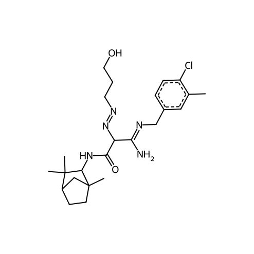 Cc1cc(C/N=C(\N)C(/N=N/CCCO)C(=O)NC2C3(C)CCC(C3)C2(C)C)ccc1Cl